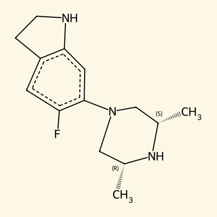 C[C@@H]1CN(c2cc3c(cc2F)CCN3)C[C@H](C)N1